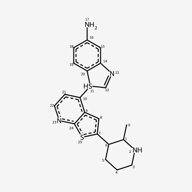 CC1NCCCC1c1cc2c([SH]3C=Nc4cc(N)ccc43)ccnc2s1